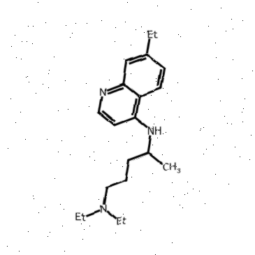 CCc1ccc2c(NC(C)CCCN(CC)CC)ccnc2c1